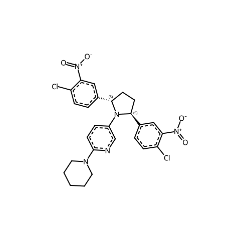 O=[N+]([O-])c1cc([C@@H]2CC[C@@H](c3ccc(Cl)c([N+](=O)[O-])c3)N2c2ccc(N3CCCCC3)nc2)ccc1Cl